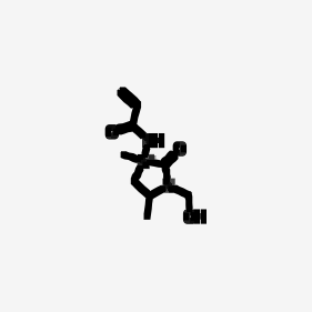 C=CC(=O)N[N+]1(C)CC(C)N(CO)C1=O